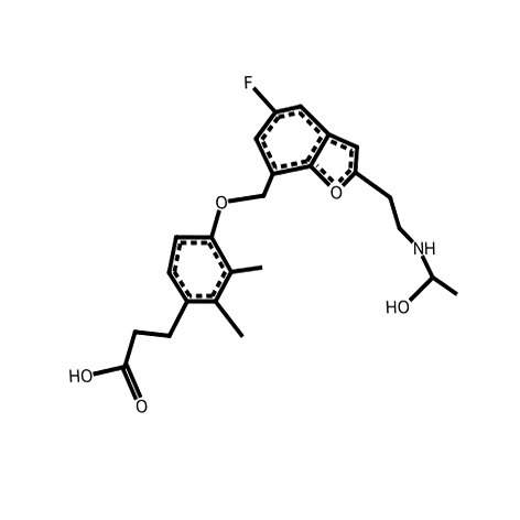 Cc1c(CCC(=O)O)ccc(OCc2cc(F)cc3cc(CCNC(C)O)oc23)c1C